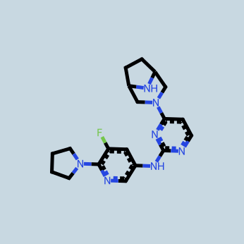 Fc1cc(Nc2nccc(N3CC4CCC(C3)N4)n2)cnc1N1CCCC1